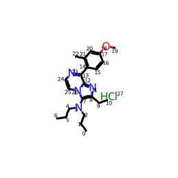 CCCN(CCC)c1c(CC)nc2c(-c3ccc(OC)cc3C)nccn12.Cl